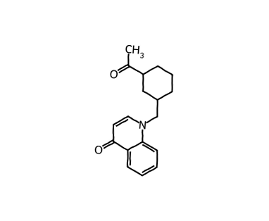 CC(=O)C1CCCC(Cn2ccc(=O)c3ccccc32)C1